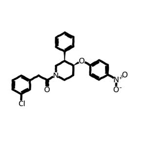 O=C(Cc1cccc(Cl)c1)N1CC[C@H](Oc2ccc([N+](=O)[O-])cc2)[C@H](c2ccccc2)C1